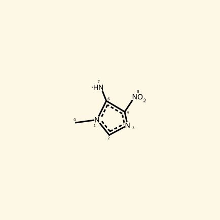 Cn1cnc([N+](=O)[O-])c1[NH]